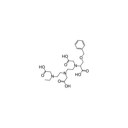 CCN(CCN(CCN(CC(=O)O)C(COCc1ccccc1)C(=O)O)CC(=O)O)CC(=O)O